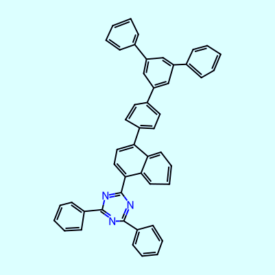 c1ccc(-c2cc(-c3ccccc3)cc(-c3ccc(-c4ccc(-c5nc(-c6ccccc6)nc(-c6ccccc6)n5)c5ccccc45)cc3)c2)cc1